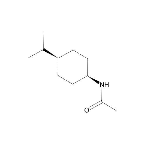 CC(=O)N[C@H]1CC[C@@H](C(C)C)CC1